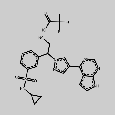 N#CCC(c1cccc(S(=O)(=O)NC2CC2)c1)n1cc(-c2ncnc3[nH]ccc23)cn1.O=C(O)C(F)(F)F